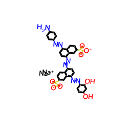 Nc1ccc(N=Nc2ccc(N=Nc3ccc(N=Nc4ccc(O)cc4O)c4cc(S(=O)(=O)[O-])ccc34)c3cc(S(=O)(=O)[O-])ccc23)cc1.[Na+].[Na+]